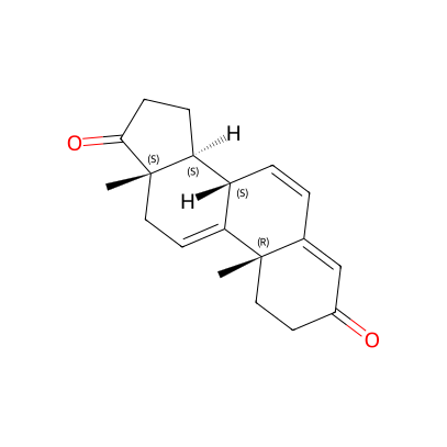 C[C@]12CCC(=O)C=C1C=C[C@@H]1C2=CC[C@]2(C)C(=O)CC[C@@H]12